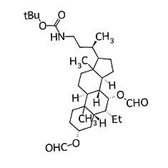 CC[C@H]1[C@@H](OC=O)[C@H]2[C@@H]3CCC([C@H](C)CCNC(=O)OC(C)(C)C)C3(C)CC[C@@H]2C2(C)CC[C@@H](OC=O)C[C@@H]12